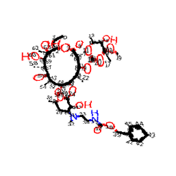 CC[C@H]1OC(=O)[C@H](C)[C@@H](O[C@@H]2O[C@@H](C)[C@H](O)[C@](C)(OC)O2)[C@H](C)[C@@H](O[C@@H]2O[C@H](C)C[C@H](N(C)CCNC(=O)OCc3ccccc3)[C@H]2O)[C@@](C)(OC)C[C@@H](C)C(=O)[C@H](C)[C@@H](O)[C@]1(C)O